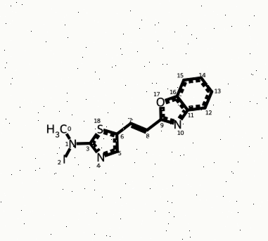 CN(I)c1ncc(/C=C/c2nc3ccccc3o2)s1